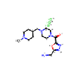 CN1CCC(CN2CCN(C(=O)c3nnc(CN)o3)CC2)CC1.Cl.Cl.Cl